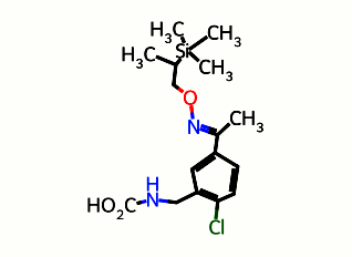 CC(=NOCC(C)[Si](C)(C)C)c1ccc(Cl)c(CNC(=O)O)c1